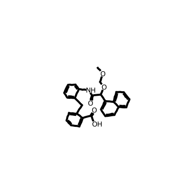 COCOC(C(=O)Nc1ccccc1Cc1ccccc1C(=O)O)c1cccc2ccccc12